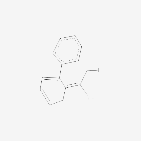 FCC(=C1CC=CC=C1c1ccccc1)C(F)(F)F